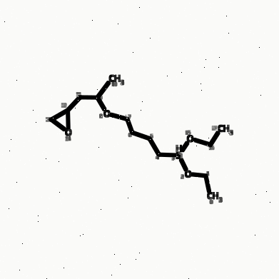 CCO[SiH](CCCCOC(C)CC1CO1)OCC